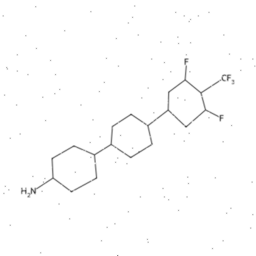 NC1CCC(C2CCC(C3CC(F)C(C(F)(F)F)C(F)C3)CC2)CC1